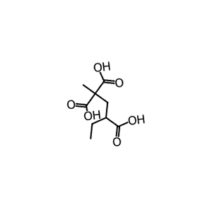 CCC(CC(C)(C(=O)O)C(=O)O)C(=O)O